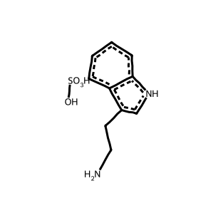 NCCc1c[nH]c2ccccc12.O=S(=O)(O)O